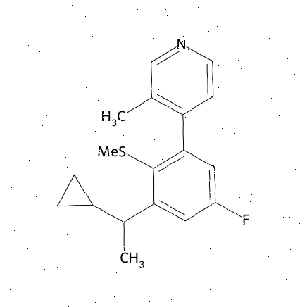 CSc1c(-c2ccncc2C)cc(F)cc1C(C)C1CC1